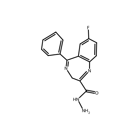 NNC(=O)C1=Nc2ccc(F)cc2C(c2ccccc2)=NC1